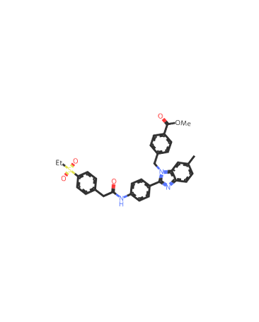 CCS(=O)(=O)c1ccc(CC(=O)Nc2ccc(-c3nc4ccc(C)cc4n3Cc3ccc(C(=O)OC)cc3)cc2)cc1